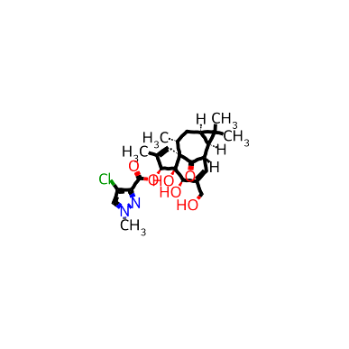 CC1=C[C@]23C(=O)[C@@H](C=C(CO)[C@@H](O)[C@]2(O)[C@H]1OC(=O)c1nn(C)cc1Cl)[C@H]1[C@@H](C[C@H]3C)C1(C)C